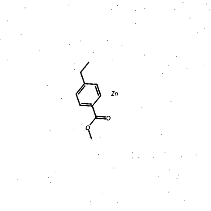 CCc1ccc(C(=O)OC)cc1.[Zn]